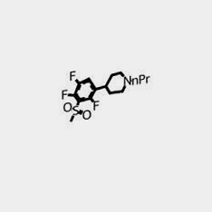 CCCN1CCC(c2cc(F)c(F)c(S(C)(=O)=O)c2F)CC1